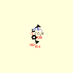 NC1(CN2CC(Oc3ccc([C@H]4C[C@H]4B(O)O)c(O)c3C(=O)O)C2)CC1